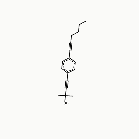 CCCCC#Cc1ccc(C#CC(C)(C)O)cc1